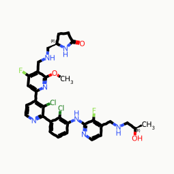 COc1nc(-c2ccnc(-c3cccc(Nc4nccc(CNC[C@@H](C)O)c4F)c3Cl)c2Cl)cc(F)c1CNC[C@H]1CCC(=O)N1